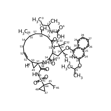 CCC(C)N(C(=O)O)[C@@H]1C(=O)N2[C@@H](C[C@@](C)(Oc3nc(OC(C)C)cc4ccccc34)C2(F)F)C(=O)N[C@]2(C(=O)NS(=O)(=O)C3(CF)CC3)C[C@H]2/C=C\CC[C@H](C)C[C@H]1C